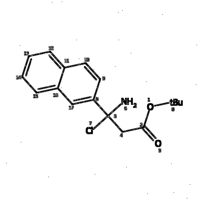 CC(C)(C)OC(=O)CC(N)(Cl)c1ccc2ccccc2c1